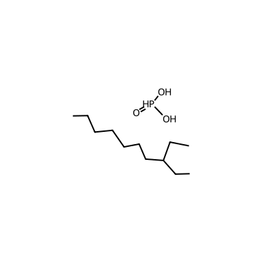 CCCCCCCC(CC)CC.O=[PH](O)O